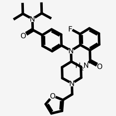 CC(C)N(C(=O)c1ccc(N(c2c(F)cccc2C(N)=O)C2CCN(Cc3ccco3)CC2)cc1)C(C)C